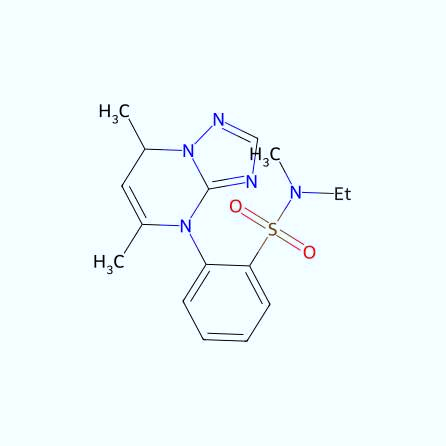 CCN(C)S(=O)(=O)c1ccccc1N1C(C)=CC(C)n2ncnc21